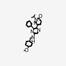 COc1ccc(CNc2cnc(-c3ccc(=O)n(C(C)C)n3)c(-c3ccccc3)n2)cc1